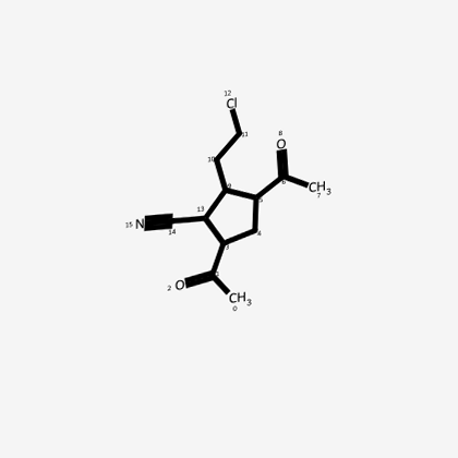 CC(=O)C1CC(C(C)=O)C(CCCl)C1C#N